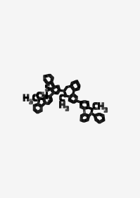 CC1c2ccc(-c3ccc4c(c3)-c3ccccc3C(c3ccccc3)C4C)cc2-c2ccccc2CC1c1cc(-c2ccc3c(c2)C(C)(C)c2ccccc2-3)c2sc3ccccc3c2c1